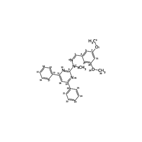 COc1cc(/C=N\N(C)c2nc(-c3ccccc3)cc(-c3ccccc3)n2)cc(OC)c1